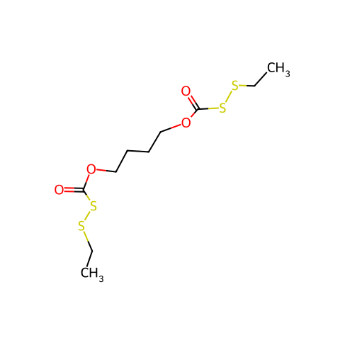 CCSSC(=O)OCCCCOC(=O)SSCC